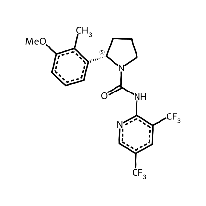 COc1cccc([C@@H]2CCCN2C(=O)Nc2ncc(C(F)(F)F)cc2C(F)(F)F)c1C